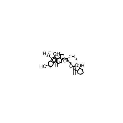 CC[C@@H]1C2C[C@H](O)CCC2(C)[C@H]2CCC3(C)[C@@H]([C@H](C)CCOC(=O)N[C@H]4CCCC[C@@H]4O)CC[C@H]3C2[C@@H]1O